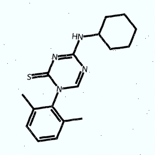 Cc1cccc(C)c1-n1cnc(NC2CCCCC2)nc1=S